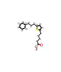 COC(=O)CCCCc1ccc(CCCc2ccccc2)s1